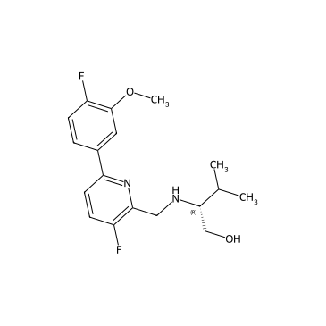 COc1cc(-c2ccc(F)c(CN[C@@H](CO)C(C)C)n2)ccc1F